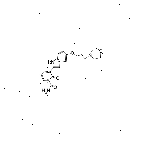 NC(=O)n1c[c]cc(-c2cc3cc(OCCCN4CCOCC4)ccc3[nH]2)c1=O